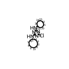 Clc1nc(NC2CCCCCCCCC2)nc(NC2CCCCCCC2)n1